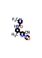 Cc1ccc(NC(=O)c2ccnc(C(F)(F)F)c2)cc1-c1cnc(N2CCOCC2)c(C#N)c1